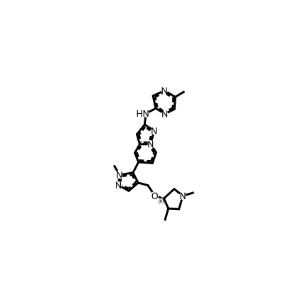 Cc1cnc(Nc2cc3cc(-c4c(CO[C@H]5CN(C)CC5C)cnn4C)ccn3n2)cn1